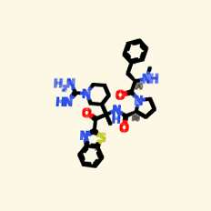 CN[C@H](Cc1ccccc1)C(=O)N1CCC[C@H]1C(=O)NC(C)(C(=O)c1nc2ccccc2s1)C1CCCN(C(=N)N)C1